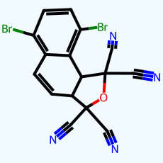 N#CC1(C#N)OC(C#N)(C#N)C2c3c(Br)ccc(Br)c3C=CC21